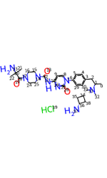 CC(Cc1ccc(-n2ccc(NC(=O)N3CCN(C(=O)C(C)(C)N)CC3)nc2=O)cc1)N(C)C[C@H]1C[C@@H](N)C1.Cl